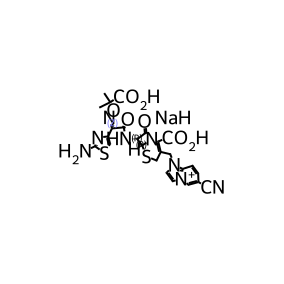 CC(C)(O/N=C(\C(=O)N[C@@H]1C(=O)N2C(C(=O)O)=C(Cn3cc[n+]4cc(C#N)ccc34)CS[C@H]12)c1csc(N)n1)C(=O)O.[NaH]